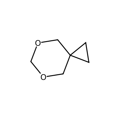 C1OCC2(CC2)CO1